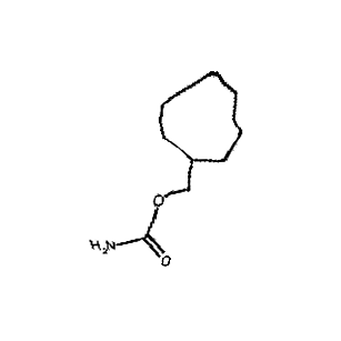 NC(=O)OCC1CCCCCC1